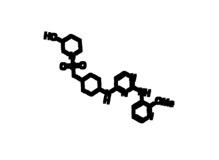 COc1ncccc1Nc1nccc(NC2CCC(CS(=O)(=O)N3CCCC(O)C3)CC2)n1